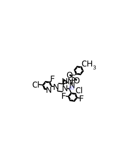 Cc1ccc(S(=O)(=O)N/N=C(/c2c(F)ccc(F)c2Cl)N2CCN(c3ncc(Cl)cc3F)CC23CC3)cc1